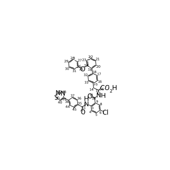 O=C(Nc1ccc(Cl)cc1C(=O)N[C@@H](Cc1ccc(-c2ccccc2Oc2ccccc2)cc1)C(=O)O)c1ccc(-c2csnn2)cc1